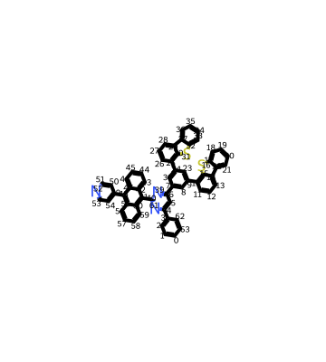 c1ccc(-c2cc(-c3cc(-c4cccc5c4sc4ccccc45)cc(-c4cccc5c4sc4ccccc45)c3)nc(-c3c4ccccc4c(-c4ccncc4)c4ccccc34)n2)cc1